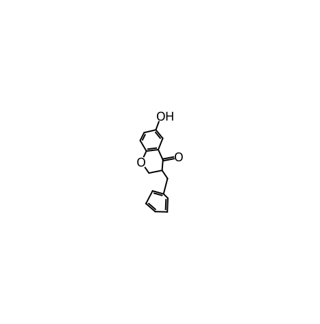 O=C1c2cc(O)ccc2OCC1Cc1ccccc1